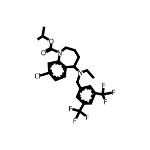 CCN(Cc1cc(C(F)(F)F)cc(C(F)(F)F)c1)C1CCCN(C(=O)OC(C)C)c2cc(Cl)ccc21